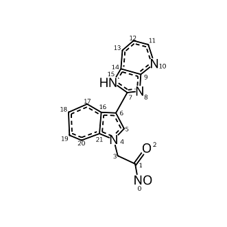 O=NC(=O)Cn1cc(-c2nc3ncccc3[nH]2)c2ccccc21